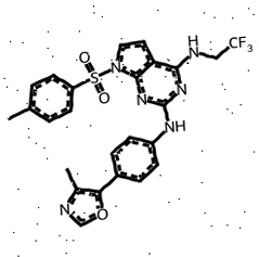 Cc1ccc(S(=O)(=O)n2ccc3c(NCC(F)(F)F)nc(Nc4ccc(-c5ocnc5C)cc4)nc32)cc1